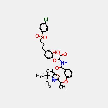 CC(Oc1cccc(C(=O)NC(Oc2ccc(CCCS(=O)(=O)c3ccc(Cl)cc3)cc2)C(=O)O)c1)c1nc(C(C)(C)C)cs1